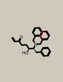 C=CC(=O)CC[C@H](O)[C@H](Cc1ccccc1)N(Cc1ccccc1)Cc1ccccc1